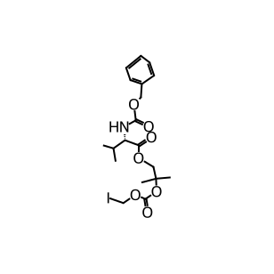 CC(C)[C@H](NC(=O)OCc1ccccc1)C(=O)OCC(C)(C)OC(=O)OCI